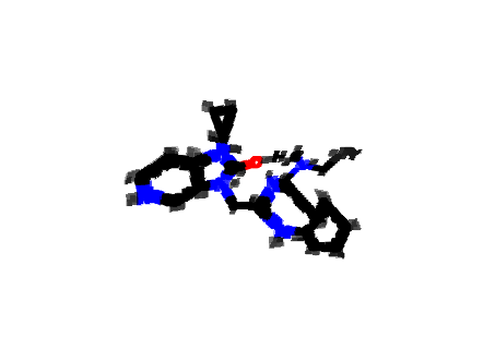 CC(C)CN(C)c1nc(Cn2c(=O)n(C3CC3)c3ccncc32)nc2ccccc12